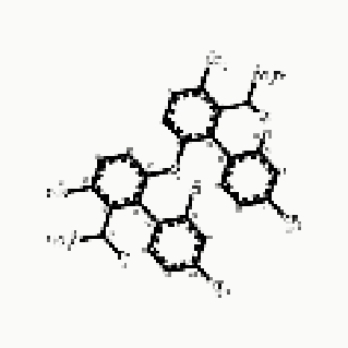 CCOC(=O)C(CC)c1c([N+](=O)[O-])ccc(Oc2ccc([N+](=O)[O-])c(C(CC)C(=O)OCC)c2-c2ccc(C(F)(F)F)cc2Cl)c1-c1ccc(C(F)(F)F)cc1Cl